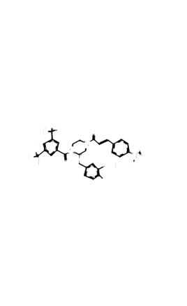 Cc1ccc(C[C@@H]2CN(C(=O)C=Cc3ccc([N+](=O)[O-])cc3)CCN2C(=O)c2cc(C(F)(F)F)cc(C(F)(F)F)c2)cc1C